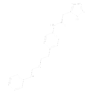 Cl.O=C(Cc1nnn[nH]1)Nc1ccc(CCNC[C@H](O)c2ccccc2)cc1